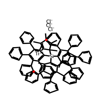 CC1=C(C)C(C)([Si](c2c(C)c(-c3ccccc3)c(-c3ccccc3)c(-c3ccccc3)c2-c2ccccc2)(c2c(C)c(-c3ccccc3)c(-c3ccccc3)c(-c3ccccc3)c2-c2ccccc2)c2c(C)c(-c3ccccc3)c(-c3ccccc3)c(-c3ccccc3)c2-c2ccccc2)[C]([Ti+3])=C1C.[Cl-].[Cl-].[Cl-]